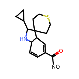 O=NC(=O)C1=CC2C(C=C1)NC(C1CC1)C21CCSCC1